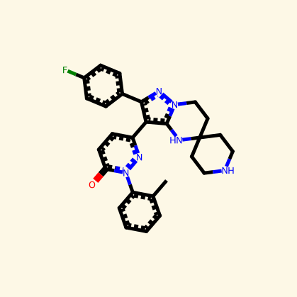 Cc1ccccc1-n1nc(-c2c(-c3ccc(F)cc3)nn3c2NC2(CCNCC2)CC3)ccc1=O